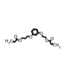 C=CC(=O)OCCCOc1cccc(OCCOC(=O)C=C)c1